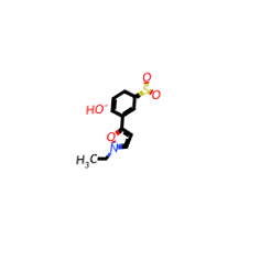 CC[n+]1ccc(C2=CC(=S(=O)=O)CC=C2)o1.[OH-]